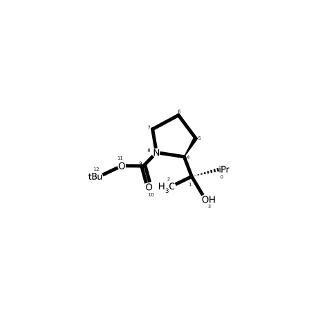 CC(C)[C@@](C)(O)[C@@H]1CCCN1C(=O)OC(C)(C)C